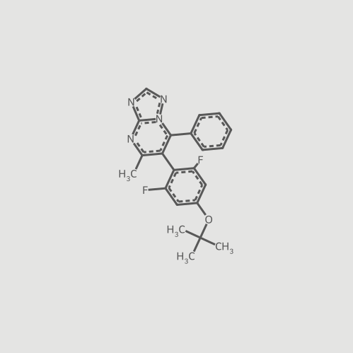 Cc1nc2ncnn2c(-c2ccccc2)c1-c1c(F)cc(OC(C)(C)C)cc1F